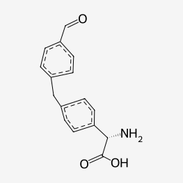 N[C@H](C(=O)O)c1ccc(Cc2ccc(C=O)cc2)cc1